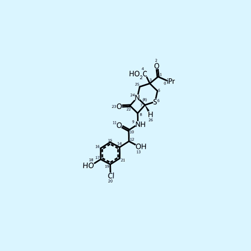 CC(C)C(=O)C1(C(=O)O)CS[C@@H]2C(NC(=O)C(O)c3ccc(O)c(Cl)c3)C(=O)N2C1